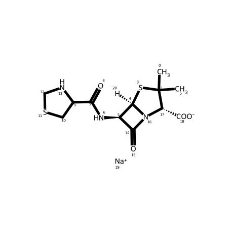 CC1(C)S[C@@H]2[C@H](NC(=O)C3CSCN3)C(=O)N2[C@H]1C(=O)[O-].[Na+]